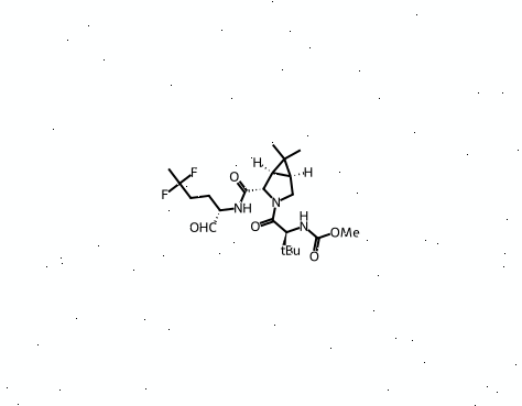 COC(=O)N[C@H](C(=O)N1C[C@H]2[C@@H]([C@H]1C(=O)N[C@H](C=O)CCC(C)(F)F)C2(C)C)C(C)(C)C